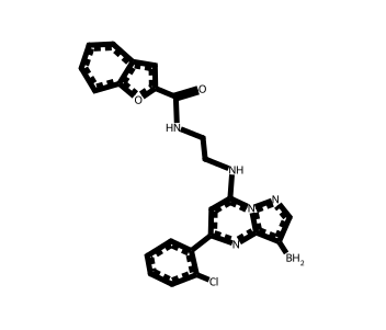 Bc1cnn2c(NCCNC(=O)c3cc4ccccc4o3)cc(-c3ccccc3Cl)nc12